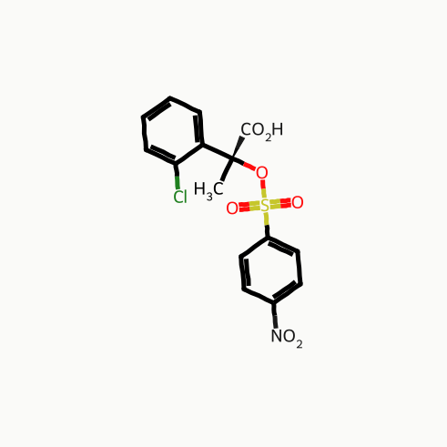 C[C@](OS(=O)(=O)c1ccc([N+](=O)[O-])cc1)(C(=O)O)c1ccccc1Cl